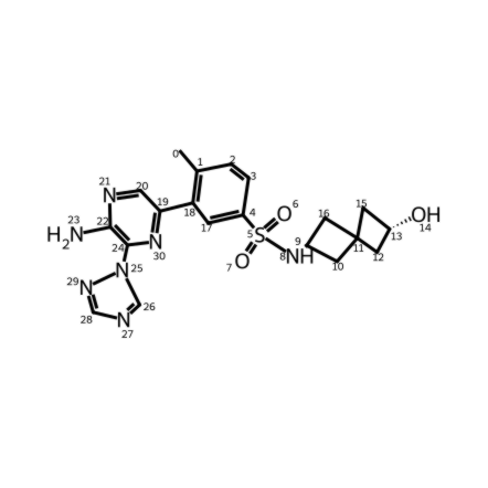 Cc1ccc(S(=O)(=O)N[C@H]2CC3(C[C@@H](O)C3)C2)cc1-c1cnc(N)c(-n2cncn2)n1